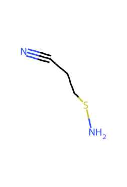 N#CCCSN